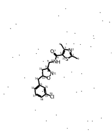 Cc1nc(C)c(C(=O)NCC2=NOC(Cc3cccc(Cl)c3)C2)s1